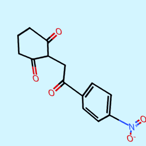 O=C(CC1C(=O)CCCC1=O)c1ccc([N+](=O)[O-])cc1